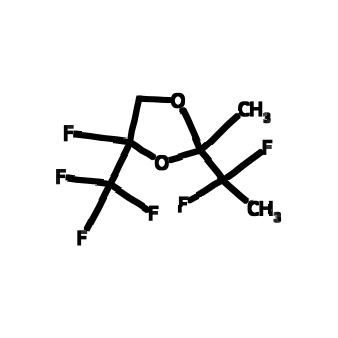 CC(F)(F)C1(C)OCC(F)(C(F)(F)F)O1